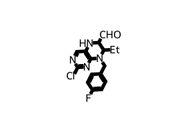 CCC1C(C=O)Nc2cnc(Cl)nc2N1Cc1ccc(F)cc1